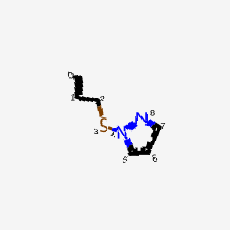 C=CCSn1cccn1